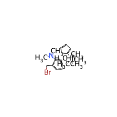 CN(C)c1ccccc1CBr.[CH3][Hf]([CH3])([CH3])([CH3])([CH3])[C]1=CC=CC1